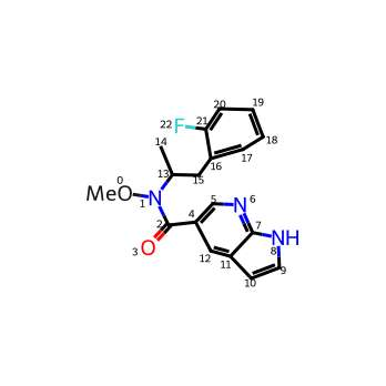 CON(C(=O)c1cnc2[nH]ccc2c1)C(C)Cc1ccccc1F